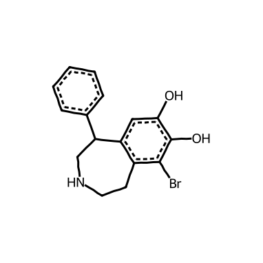 Oc1cc2c(c(Br)c1O)CCNCC2c1ccccc1